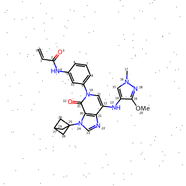 C=CC(=O)Nc1cccc(-n2cc(Nc3cn(C)nc3OC)c3ncn(C45CC(C4)C5)c3c2=O)c1